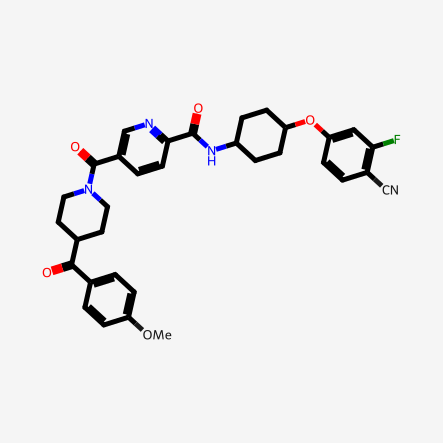 COc1ccc(C(=O)C2CCN(C(=O)c3ccc(C(=O)NC4CCC(Oc5ccc(C#N)c(F)c5)CC4)nc3)CC2)cc1